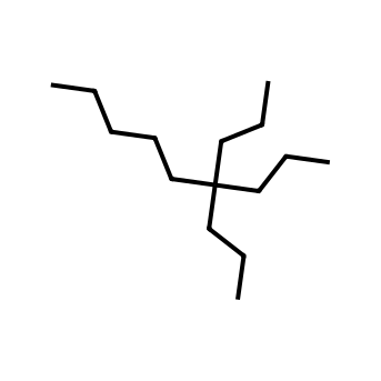 CCCCCC(CCC)(CCC)CCC